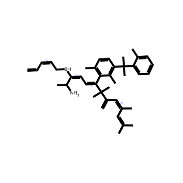 C=C/C=C\CB/C(=C/C=C(\c1c(C)ccc(C(C)(C)c2ccccc2C)c1C)C(C)(C)C(=C)/C=C(/C)C=C(C)C)C(C)N